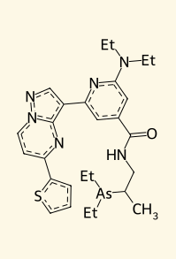 CCN(CC)c1cc(C(=O)NCC(C)[As](CC)CC)cc(-c2cnn3ccc(-c4cccs4)nc23)n1